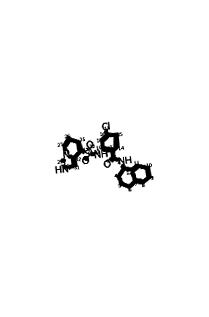 O=C(NC1CCCc2ccccc21)c1ccc(Cl)cc1NS(=O)(=O)C1=CC=CN2SNC=C12